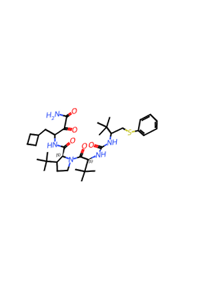 CC(C)(C)C(CSc1ccccc1)NC(=O)N[C@H](C(=O)N1CCC(C(C)(C)C)[C@H]1C(=O)NC(CC1CCC1)C(=O)C(N)=O)C(C)(C)C